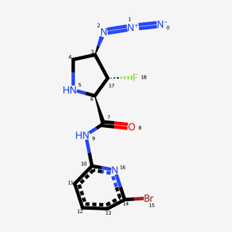 [N-]=[N+]=N[C@@H]1CN[C@H](C(=O)Nc2cccc(Br)n2)[C@H]1F